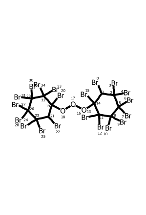 BrC1C(Br)(Br)C(Br)(Br)C(Br)(Br)C(Br)(Br)C1(Br)OOOC1(Br)C(Br)C(Br)(Br)C(Br)(Br)C(Br)(Br)C1(Br)Br